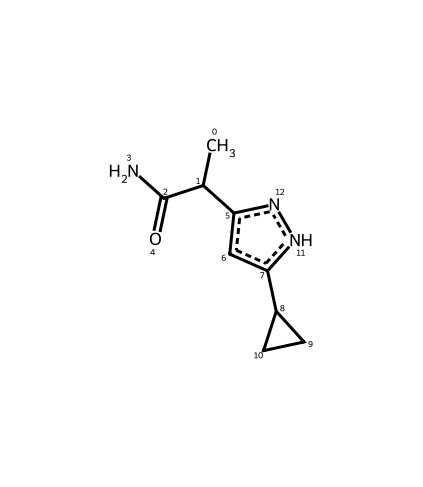 CC(C(N)=O)c1cc(C2CC2)[nH]n1